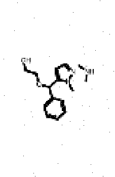 CNC.Cn1nccc1C(OCCO)c1ccccc1